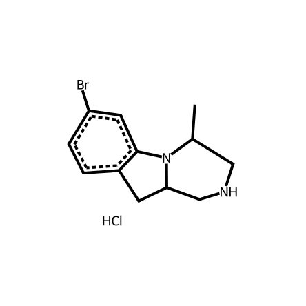 CC1CNCC2Cc3ccc(Br)cc3N12.Cl